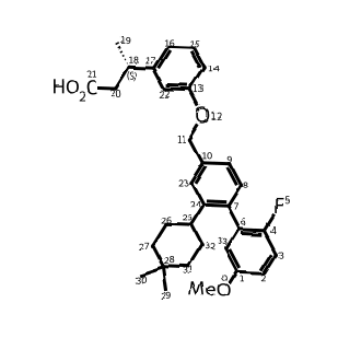 COc1ccc(F)c(-c2ccc(COc3cccc([C@@H](C)CC(=O)O)c3)cc2C2CCC(C)(C)CC2)c1